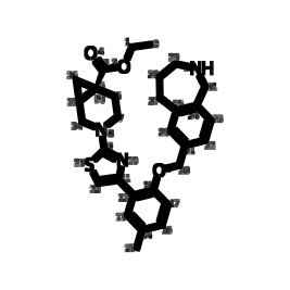 CCOC(=O)[C@@]12CCN(c3nc(-c4cc(C)ccc4OCc4ccc5c(c4)CCCNC5)cs3)CC1C2